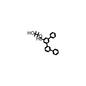 CC(C)(O)C(C)(C)OBc1cc(-c2ccccc2)cc(-c2cccc(-c3ccccc3)c2)c1